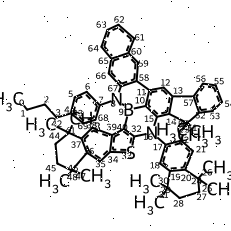 CCCCc1ccc(N2B3c4c(cc5c(c4N(c4cc6c(cc4C)C(C)(C)CCC6(C)C)c4sc6cc7c(cc6c43)C(C)(C)CCC7(C)C)C(C)(C)c3ccccc3-5)-c3cc4ccccc4cc32)cc1